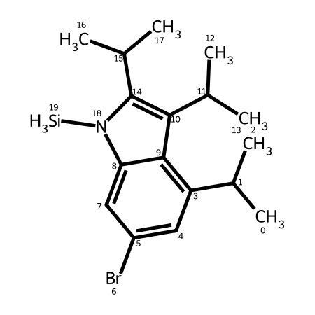 CC(C)c1cc(Br)cc2c1c(C(C)C)c(C(C)C)n2[SiH3]